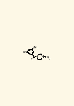 CN1CCN(C(=O)c2cc(N)cc(Br)c2)CC1